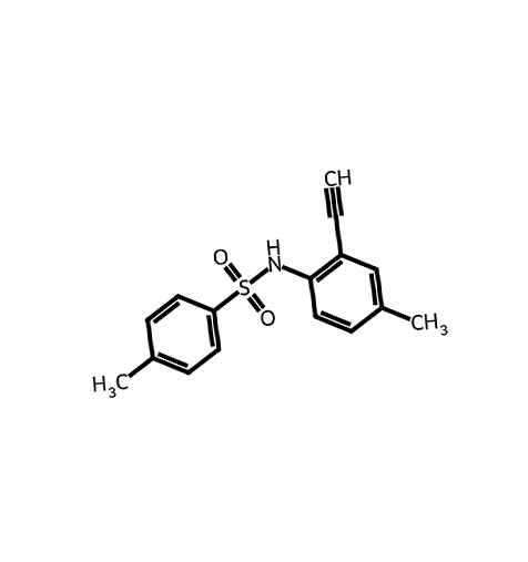 C#Cc1cc(C)ccc1NS(=O)(=O)c1ccc(C)cc1